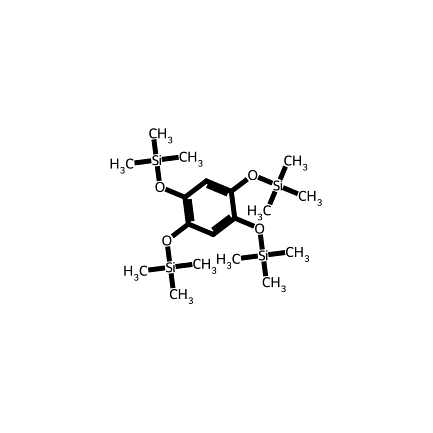 C[Si](C)(C)Oc1cc(O[Si](C)(C)C)c(O[Si](C)(C)C)cc1O[Si](C)(C)C